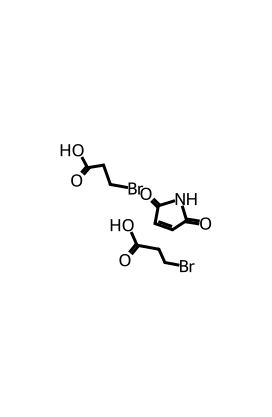 O=C(O)CCBr.O=C(O)CCBr.O=C1C=CC(=O)N1